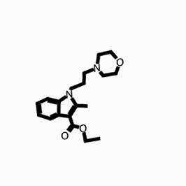 CCOC(=O)c1c(C)n(CCCN2CCOCC2)c2ccccc12